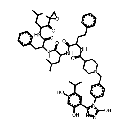 CC(C)CC(NC(=O)C(CCc1ccccc1)NC(=O)C1CCN(Cc2ccc(-n3c(O)nnc3-c3cc(C(C)C)c(O)cc3O)cc2)CC1)C(=O)NC(Cc1ccccc1)C(=O)NC(CC(C)C)C(=O)C1(C)CO1